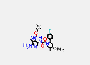 COC1CC(c2ccc(F)cc2)N(C(=O)C(=O)Nc2cnc(N)c3cnn(COCC[Si](C)(C)C)c23)CC1C